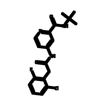 CC(C)(C)NC(=O)c1cc(NC(=O)Cc2c(F)cccc2Cl)ccn1